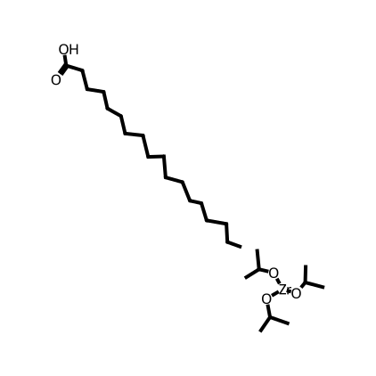 CC(C)[O][Zr]([O]C(C)C)[O]C(C)C.CCCCCCCCCCCCCCCCCC(=O)O